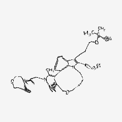 CCOC(=O)c1c(CCCO[Si](C)(C)C(C)(C)C)c2cccc3c2n1C/C=C\COCc1nn(CCN2CCOCC2)c(C)c1-3